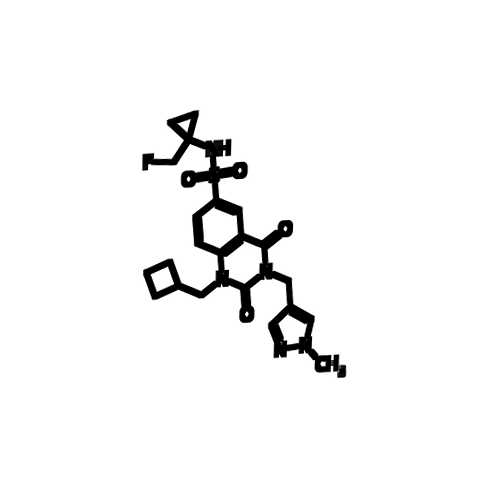 Cn1cc(Cn2c(=O)c3cc(S(=O)(=O)NC4(CF)CC4)ccc3n(CC3CCC3)c2=O)cn1